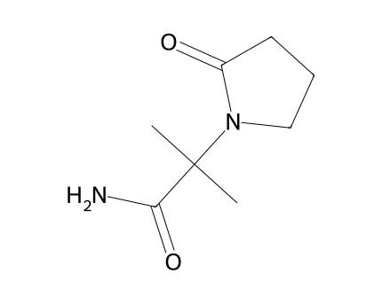 CC(C)(C(N)=O)N1CCCC1=O